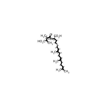 CC(C)=CCC/C(C)=C/CC/C(C)=C/CSCC[C@H](NC(=O)[C@H](C)[C@H](C)C(=O)O)C(=O)O